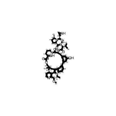 CCn1c(-c2cccnc2[C@H](C)OC)c2c3cc(ccc31)-c1cc(O)cc(c1)C[C@H](NC(=O)[C@H](C(C)C)N(C)C(=O)[C@H]1CC[C@@H](C)N1C(=O)[C@H]1CN1)C(=O)N1CCC[C@H](N1)C(=O)OCC(C)(C)C2